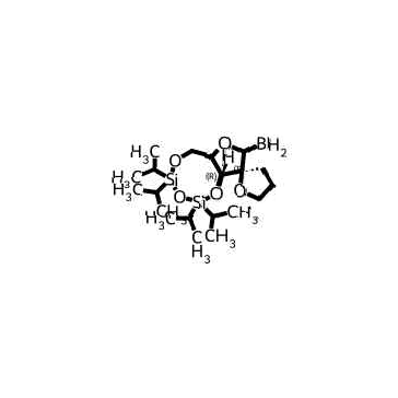 BC1OC2CO[Si](C(C)C)(C(C)C)O[Si](C(C)C)(C(C)C)O[C@H]2[C@@]12CCCO2